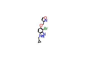 Brc1c(OCc2ccon2)ccc2c1nnn2CC1CC1